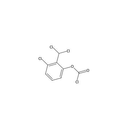 O=C(Cl)Oc1cccc(Cl)c1C(Cl)Cl